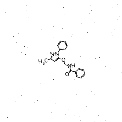 Cc1cc(OCNC(=O)c2ccccc2)n(-c2ccccc2)n1